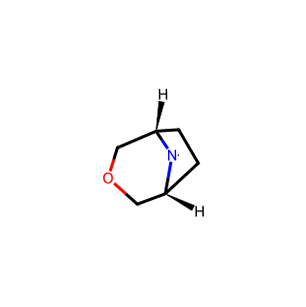 C1C[C@H]2COC[C@@H]1[N]2